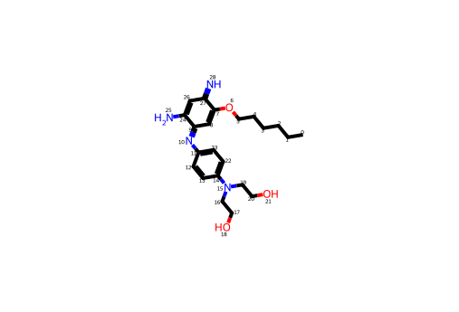 CCCCCCOC1=CC(=Nc2ccc(N(CCO)CCO)cc2)C(N)=CC1=N